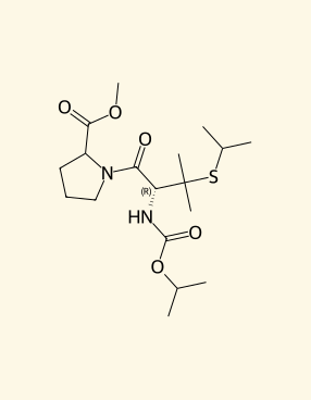 COC(=O)C1CCCN1C(=O)[C@@H](NC(=O)OC(C)C)C(C)(C)SC(C)C